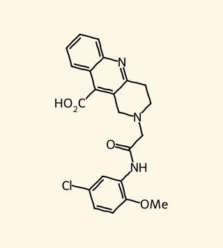 COc1ccc(Cl)cc1NC(=O)CN1CCc2nc3ccccc3c(C(=O)O)c2C1